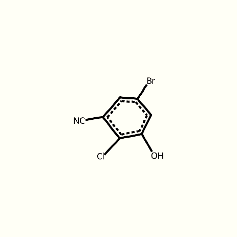 N#Cc1cc(Br)cc(O)c1Cl